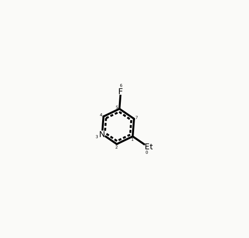 CCc1cncc(F)c1